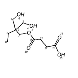 CCC(CO)(CO)COC(=O)CCC(=O)O